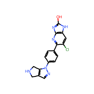 Oc1nc2nc(-c3ccc(-n4ncc5c4CNC5)cc3)c(Cl)cc2[nH]1